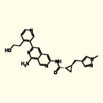 Cn1cc(C[C@H]2C[C@@H]2C(=O)Nc2cc3cc(-c4cnccc4CCO)nc(N)c3cn2)cn1